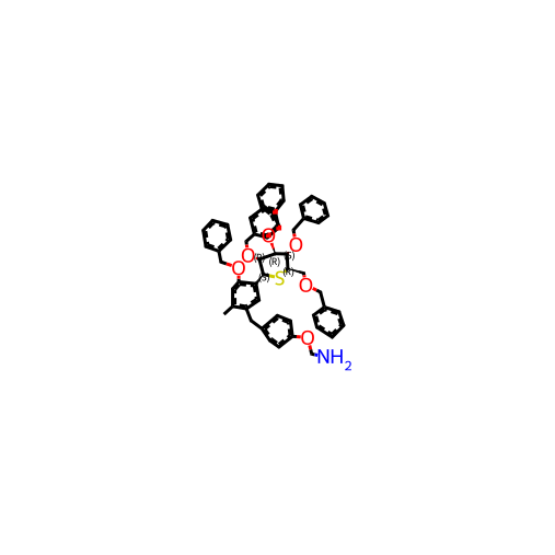 Cc1cc(OCc2ccccc2)c([C@@H]2S[C@H](COCc3ccccc3)[C@@H](OCc3ccccc3)[C@H](OCc3ccccc3)[C@H]2OCc2ccccc2)cc1Cc1ccc(OCN)cc1